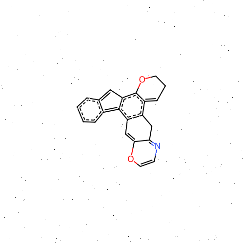 C1=COC2=Cc3c(c4c(c5c3=c3ccccc3=C5)OCCC=4)CC2=N1